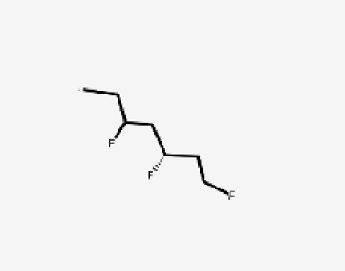 [CH2]CC(F)C[C@@H](F)CCF